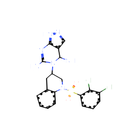 NC1=Nc2[nH]ncc2C(N)N1C1Cc2ccccc2N(S(=O)(=O)c2cccc(Cl)c2Cl)C1